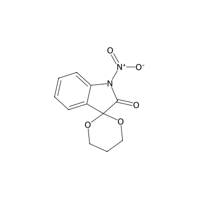 O=C1N([N+](=O)[O-])c2ccccc2C12OCCCO2